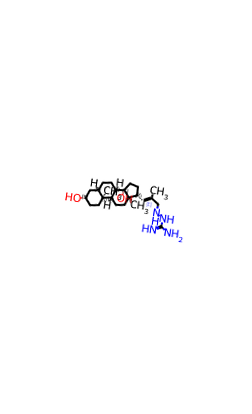 C/C(=C\[C@H]1CC[C@]2(O)[C@@H]3CC[C@@H]4C[C@@H](O)CC[C@]4(C)[C@H]3CC[C@]12C)CNNC(=N)N